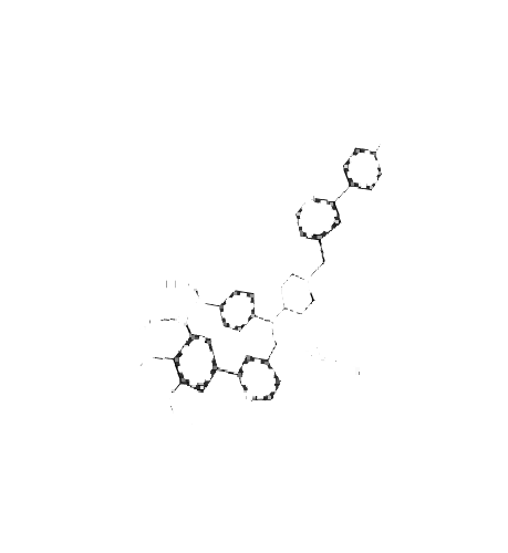 COc1ccc(N(Cc2ccnc(-c3cc(OC)c(OC)c(OC)c3)c2)C2CCN(Cc3ccnc(-c4ccc(Cl)cc4)c3)CC2)cc1.Cl.Cl.Cl